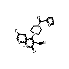 N#Cc1c(N2CCN(C(=O)c3ccco3)CC2)c2cc(F)cnc2[nH]c1=O